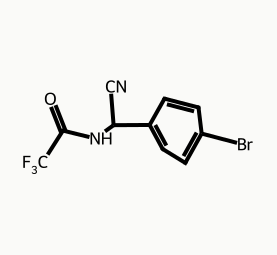 N#CC(NC(=O)C(F)(F)F)c1ccc(Br)cc1